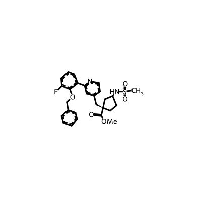 COC(=O)[C@@]1(Cc2ccnc(-c3cccc(F)c3OCc3ccccc3)c2)CC[C@H](NS(C)(=O)=O)C1